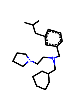 CC(C)Cc1cccc(CN(CCN2CCCC2)CC2CCCCC2)c1